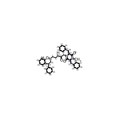 CN(CCNC(=O)Cn1c(=O)/c(=C/c2ccccc2)n(C)c(=O)/c1=C/c1ccccc1)CC(c1ccccc1)c1ccccc1